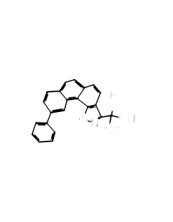 CC(C)(C)c1noc2c1ccc1ccc3ccc(-c4ccccc4)cc3c12